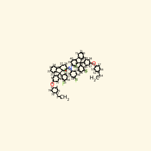 C=Cc1ccc(Oc2ccc(C3(c4cc(F)ccc4F)c4ccccc4-c4ccc(N(c5ccc(F)cc5)c5ccc6c(c5)C(c5ccc(Oc7ccc(C=C)cc7)cc5)(c5cc(F)ccc5F)c5ccccc5-6)cc43)cc2)cc1